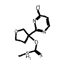 C[SH2]C(=S)OC1(c2nccc(Cl)n2)CCOC1